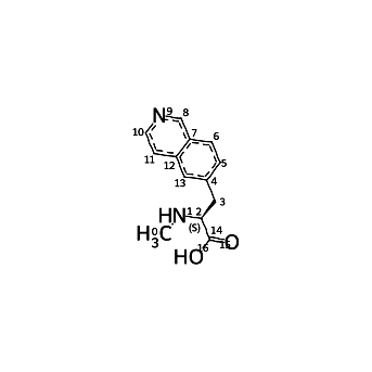 CN[C@@H](Cc1ccc2cnccc2c1)C(=O)O